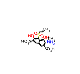 C=CCS(=O)(=O)c1c(O)c(S(=O)(=O)O)cc2cc(S(=O)(=O)O)cc(O)c12.CN